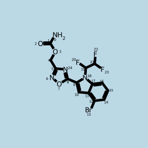 NC(=O)OCc1noc(-c2cc3c(Br)cccc3n2C(F)C(F)F)n1